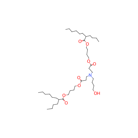 CCCCCCC(CCCC)C(=O)OCCCCOC(=O)CCN(CCCCO)CCC(=O)OCCCCOC(=O)C(CCCC)CCCCCC